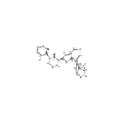 Cc1cccnc1[C@@H]1CCC[C@H](C2CN3C(N4CC5CCC(C4)N5C)=CC=CC3=N2)N1